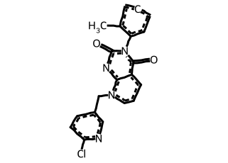 Cc1ccccc1-n1c(=O)nc2n(Cc3ccc(Cl)nc3)cccc-2c1=O